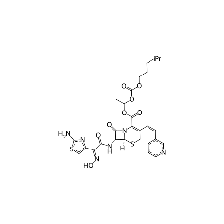 CC(C)CCCOC(=O)OC(C)OC(=O)C1=C(/C=C\c2cccnc2)CS[C@H]2[C@H](NC(=O)C(=NO)c3csc(N)n3)C(=O)N12